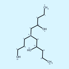 CCCC(O)CN(CCCO)CC(O)CCC